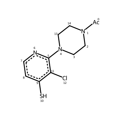 CC(=O)N1CCN(c2nccc(S)c2Cl)CC1